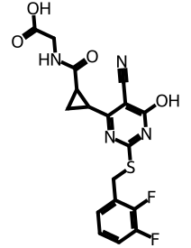 N#Cc1c(O)nc(SCc2cccc(F)c2F)nc1C1CC1C(=O)NCC(=O)O